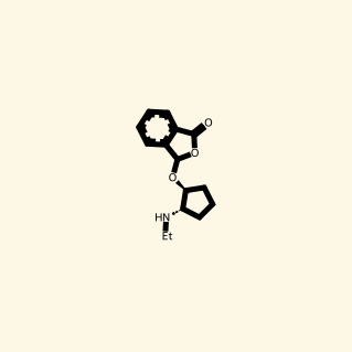 CCN[C@H]1CCC[C@@H]1OC1OC(=O)c2ccccc21